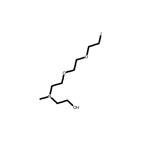 CN(CCO)CCOCCOCCI